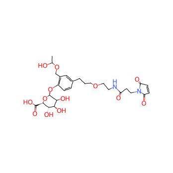 CC(O)OCc1cc(CCCOCCNC(=O)CCN2C(=O)C=CC2=O)ccc1O[C@@H]1O[C@H](C(=O)O)[C@@H](O)[C@H](O)C1O